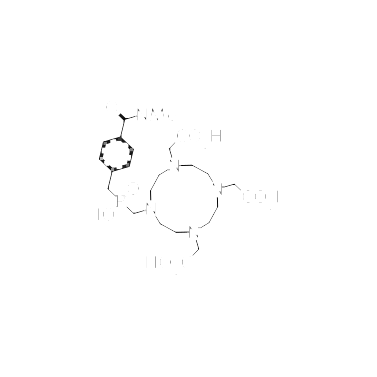 CNC(=O)c1ccc(CP(=O)(O)CN2CCN(CC(=O)O)CCN(CC(=O)O)CCN(CC(=O)O)CC2)cc1